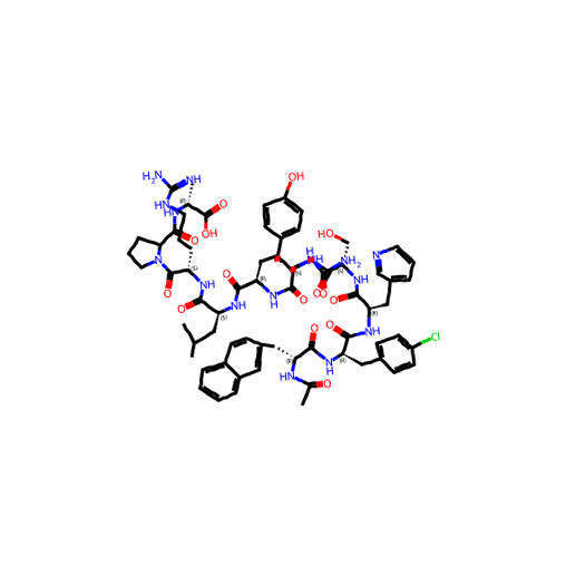 CC(=O)N[C@H](Cc1ccc2ccccc2c1)C(=O)N[C@H](Cc1ccc(Cl)cc1)C(=O)N[C@H](Cc1cccnc1)C(=O)N[C@@H](CO)C(=O)N[C@@H](Cc1ccc(O)cc1)C(=O)N[C@H](CCCNC(N)=O)C(=O)N[C@@H](CC(C)C)C(=O)N[C@@H](CCCNC(=N)N)C(=O)N1CCCC1C(=O)N[C@H](C)C(=O)O